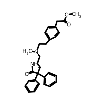 COC(=O)Cc1ccc(CCN(C)CCCC(C(N)=O)(c2ccccc2)c2ccccc2)cc1